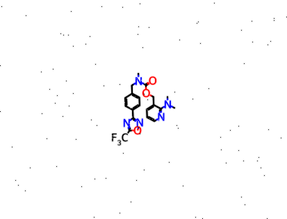 CN(Cc1ccc(-c2noc(C(F)(F)F)n2)cc1)C(=O)OCc1cccnc1N(C)C